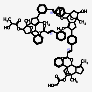 CC1=C2C(OC(=O)/C=C/c3ccc(C4CC5C(=C4C)C(OC(=O)/C=C/c4cccc(C6CC7C(=C6C)C(OC(=O)/C=C/c6ccccc6)C6(c8ccccc8)CC(OC(=O)C(C)O)C7(C)O6)c4)C4(c6ccccc6)CC(O)C5(C)O4)cc3)C3(c4ccccc4)CC(OC(=O)CO)C(C)(O3)C2CC1